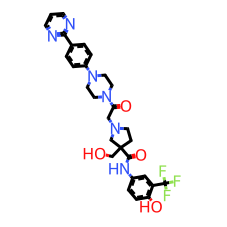 O=C(CN1CCC(CO)(C(=O)Nc2ccc(O)c(C(F)(F)F)c2)C1)N1CCN(c2ccc(-c3ncccn3)cc2)CC1